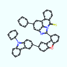 S=c1c2ccccc2c2cc(-c3ccccc3)cc3nc(-c4cccc5oc6ccc(-c7ccc8c(c7)c7ccccc7n8-c7ccccc7)cc6c45)n1c32